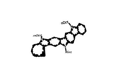 CCCCCCCCn1c2ccccc2c2cc3c(cc21)c1cc2c(cc1n3CCCCCCCC)c1ccccc1n2CCCCCCCC